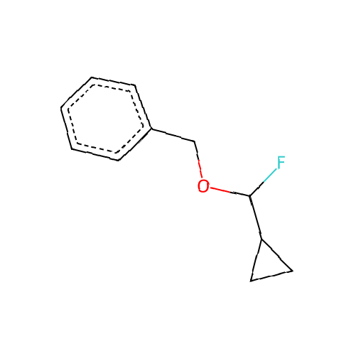 FC(OCc1ccccc1)C1CC1